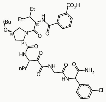 CCCC(NC(=O)[C@@H]1C[C@@H](OC(C)(C)C)CN1C(=O)[C@@H](NC(=O)c1cccc(C(=O)O)c1)C(CC)CC)C(=O)C(=O)NCC(=O)NC(C(N)=O)c1cccc(Cl)c1